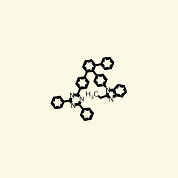 CCc1nc2ccccc2n1-c1ccc(-c2c(-c3ccccc3)cccc2-c2ccc(-c3nc(-c4ccccc4)nc(-c4ccccc4)n3)cc2)cc1